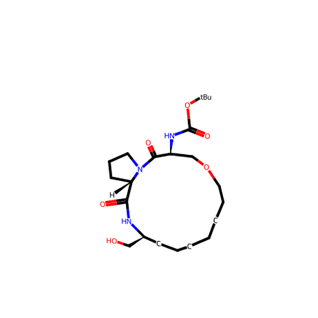 CC(C)(C)OC(=O)N[C@H]1COCCCCCCC[C@@H](CO)NC(=O)[C@@H]2CCCN2C1=O